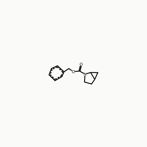 O=C(OCc1ccccc1)N1CCC2CC21